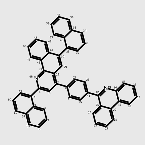 c1ccc2c(-c3cc(-c4ccc(-c5nc6ccccc6c6ccccc56)cc4)c4cc(-c5cccc6ccccc56)c5ccccc5c4n3)cccc2c1